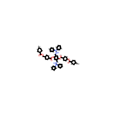 CC(=O)C1CCC(C(=O)OCC2CCC(C(=O)Oc3cc(CNN(c4ccccc4)c4ccccc4)c(OC(=O)C4CCC(OC(=O)C5CCC(C(C)=O)CC5)CC4)cc3CNN(c3ccccc3)c3ccccc3)CC2)CC1